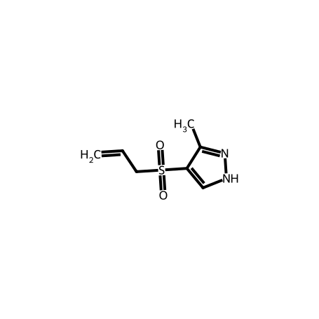 C=CCS(=O)(=O)c1c[nH]nc1C